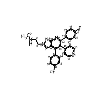 CNCCn1cc2c(-c3ccc(F)cc3)c(-c3ccncc3)c(-c3ccc(F)cc3)nc2n1